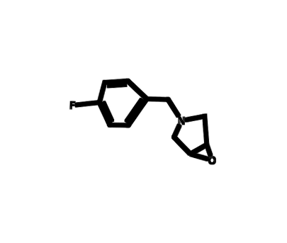 Fc1ccc(CN2CC3OC3C2)cc1